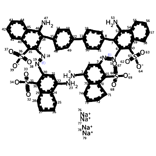 Nc1cc(/N=N/c2c(-c3ccc(-c4ccc(-c5c(/N=N/c6cc(N)c7ccccc7c6S(=O)(=O)[O-])c(S(=O)(=O)[O-])c6ccccc6c5N)cc4)cc3)c(N)c3ccccc3c2S(=O)(=O)[O-])c(S(=O)(=O)[O-])c2ccccc12.[Na+].[Na+].[Na+].[Na+]